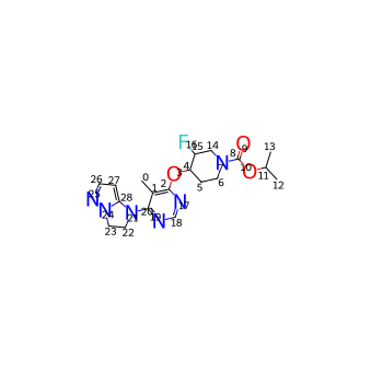 Cc1c(OC2CCN(C(=O)OC(C)C)CC2F)ncnc1N1CCn2nccc21